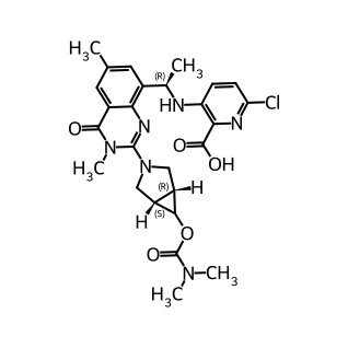 Cc1cc([C@@H](C)Nc2ccc(Cl)nc2C(=O)O)c2nc(N3C[C@@H]4C(OC(=O)N(C)C)[C@@H]4C3)n(C)c(=O)c2c1